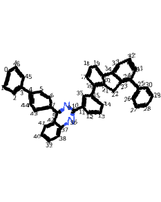 c1ccc(-c2ccc(-c3nc(-c4cccc(-c5cccc6c5Cc5c(-c7ccccc7)cccc5-6)c4)nc4ccccc34)cc2)cc1